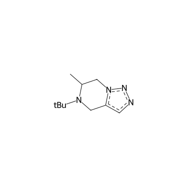 CC1Cn2nncc2CN1C(C)(C)C